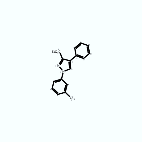 CCOC(=O)c1nn(-c2cccc(C(F)(F)F)c2)cc1-c1ccccc1